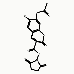 CC(=O)Oc1cc2oc(=O)c(C(=O)ON3C(=O)CCC3=O)cc2cc1F